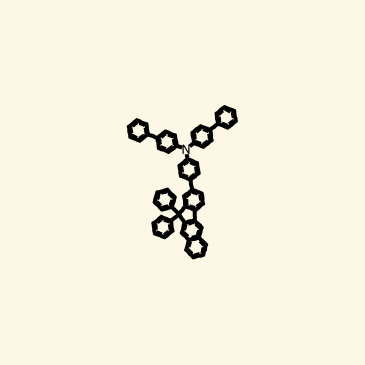 c1ccc(-c2ccc(N(c3ccc(-c4ccccc4)cc3)c3ccc(-c4ccc5c(c4)C(c4ccccc4)(c4ccccc4)c4cc6ccccc6cc4-5)cc3)cc2)cc1